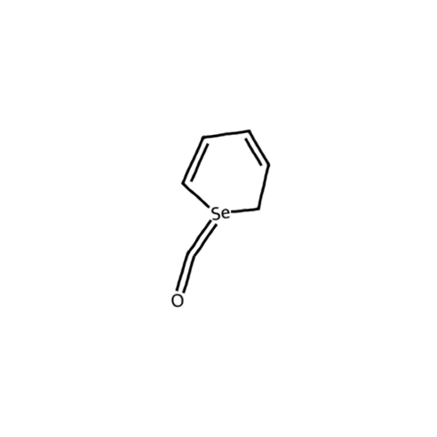 O=C=[Se]1C=CC=CC1